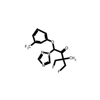 CC(CF)(CF)C(=O)C(Oc1cccc(C(F)(F)F)c1)n1cncn1